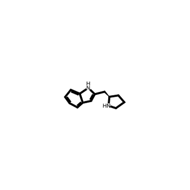 c1ccc2[nH]c(C[C@H]3CCCN3)cc2c1